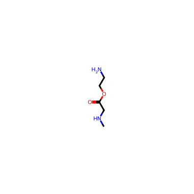 CNCC(=O)OCCN